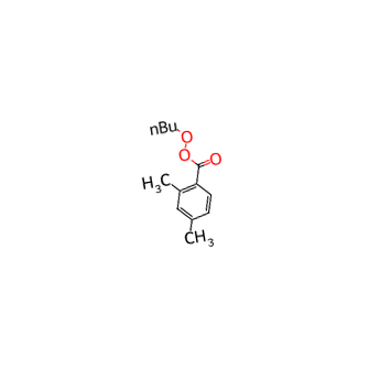 [CH2]CCCOOC(=O)c1ccc(C)cc1C